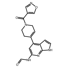 O=CNc1cc(C2=CCN(C(=O)c3cnoc3)CC2)c2cc[nH]c2n1